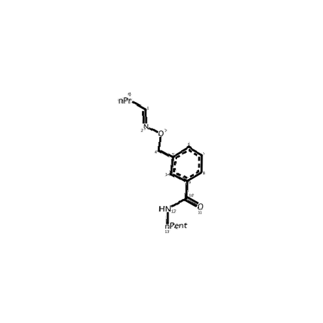 CCC/C=N/OCc1cccc(C(=O)NCCCCC)c1